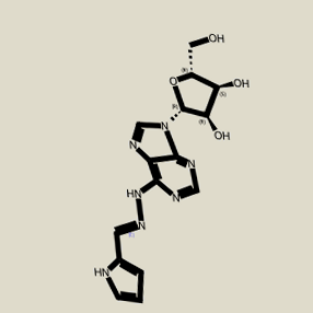 OC[C@H]1O[C@@H](n2cnc3c(N/N=C/c4ccc[nH]4)ncnc32)[C@H](O)[C@@H]1O